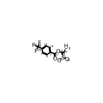 CC(OC(=O)c1ccc(C(F)(F)F)cc1)[SH](=O)=O